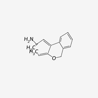 C=C(N)/C=C1\C(=C/C)OCc2ccccc21